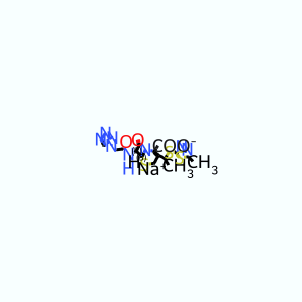 Cc1nnc(SC(C)C2=C(C(=O)[O-])N3C(=O)[C@@H](NC(=O)Cn4cnnn4)[C@@H]3SC2)s1.[Na+]